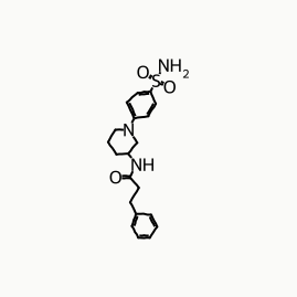 NS(=O)(=O)c1ccc(N2CCCC(NC(=O)CCc3ccccc3)C2)cc1